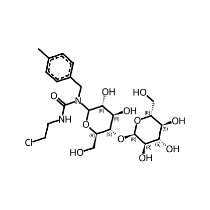 Cc1ccc(CN(C(=O)NCCCl)C2O[C@H](CO)[C@@H](O[C@H]3O[C@H](CO)[C@@H](O)[C@H](O)[C@H]3O)[C@H](O)[C@H]2O)cc1